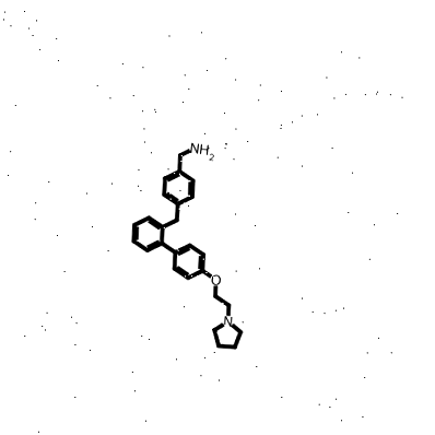 NCc1ccc(Cc2ccccc2-c2ccc(OCCN3CCCC3)cc2)cc1